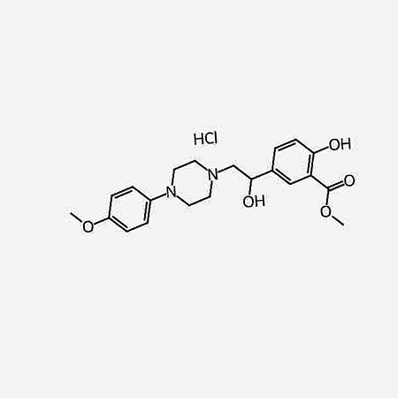 COC(=O)c1cc(C(O)CN2CCN(c3ccc(OC)cc3)CC2)ccc1O.Cl